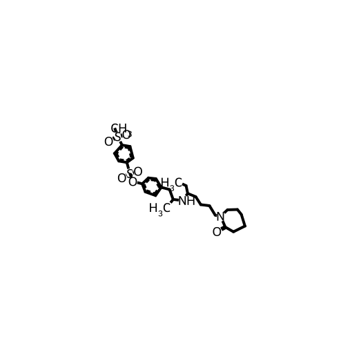 CCC(CCCCN1CCCCCC1=O)NC(C)Cc1ccc(OS(=O)(=O)c2ccc(S(C)(=O)=O)cc2)cc1